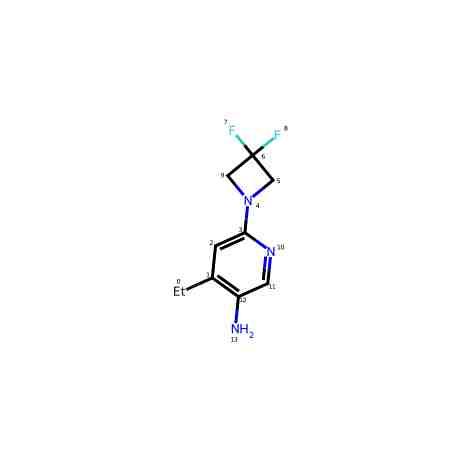 CCc1cc(N2CC(F)(F)C2)ncc1N